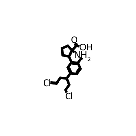 Cc1ccc(C(CCCl)CCCl)cc1C1CCCC1(N)C(=O)O